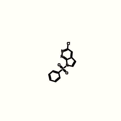 O=S(=O)(c1ccccc1)n1ccc2cc(Cl)nnc21